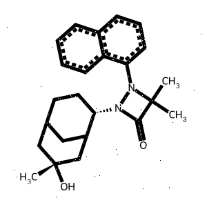 CC1(C)C(=O)N([C@H]2CCC3CC2C[C@](C)(O)C3)N1c1cccc2ccccc12